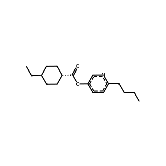 CCCCc1ccc(OC(=O)[C@H]2CC[C@H](CC)CC2)cn1